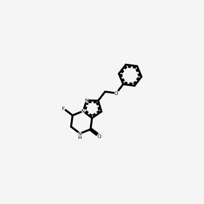 O=C1NCC(F)n2nc(COc3ccccc3)cc21